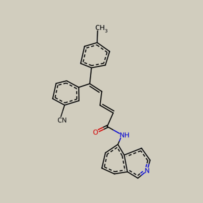 Cc1ccc(/C(=C/C=C/C(=O)Nc2cccc3cnccc23)c2cccc(C#N)c2)cc1